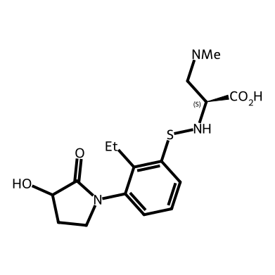 CCc1c(SN[C@@H](CNC)C(=O)O)cccc1N1CCC(O)C1=O